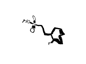 O=S(=O)(O)CCc1ccccc1F